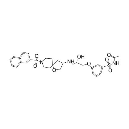 CC(=O)NS(=O)(=O)c1cccc(OC[C@@H](O)CNC2COC3(CCN(S(=O)(=O)c4ccc5ccccc5c4)CC3)C2)c1